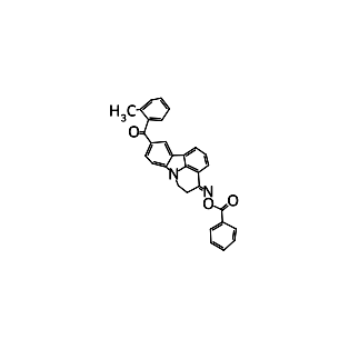 Cc1ccccc1C(=O)c1ccc2c(c1)c1cccc3c1n2CC/C3=N\OC(=O)c1ccccc1